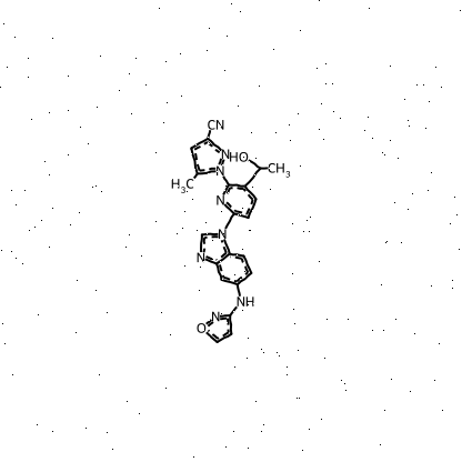 Cc1cc(C#N)nn1-c1nc(-n2cnc3cc(Nc4ccon4)ccc32)ccc1C(C)O